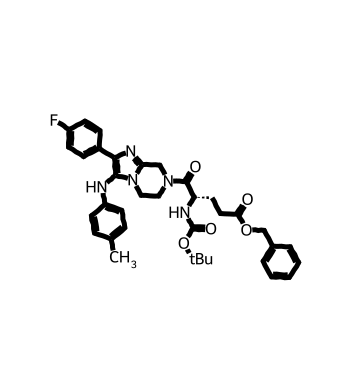 Cc1ccc(Nc2c(-c3ccc(F)cc3)nc3n2CCN(C(=O)[C@H](CCC(=O)OCc2ccccc2)NC(=O)OC(C)(C)C)C3)cc1